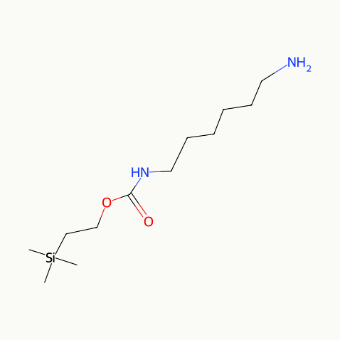 C[Si](C)(C)CCOC(=O)NCCCCCCN